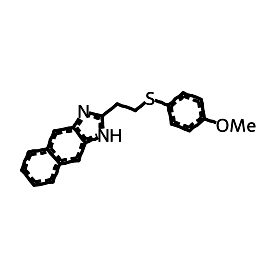 COc1ccc(SCCc2nc3cc4ccccc4cc3[nH]2)cc1